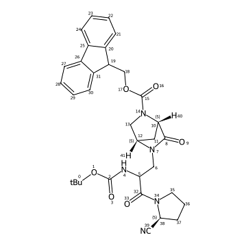 CC(C)(C)OC(=O)NC(CN1C(=O)[C@@H]2C[C@H]1CN2C(=O)OCC1c2ccccc2-c2ccccc21)C(=O)N1CCC[C@H]1C#N